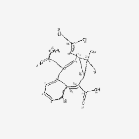 CC=C(C(=O)O)C1=CC=CCC1=C(C(=O)O)C1C(C=C(Cl)Cl)C1(C)C